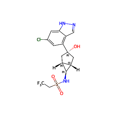 O=S(=O)(CC(F)(F)F)N[C@H]1[C@@H]2C[C@@](O)(c3cc(Cl)cc4[nH]ncc34)C[C@@H]21